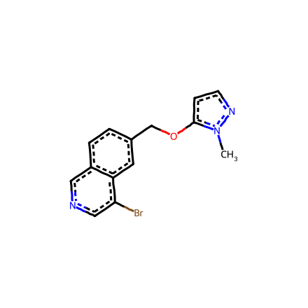 Cn1nccc1OCc1ccc2cncc(Br)c2c1